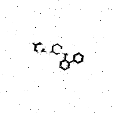 O=C(c1ccccc1-c1ccccc1)N1CCCC(Nc2ncc(Br)cn2)C1